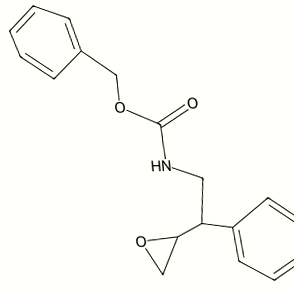 O=C(NCC(c1ccccc1)C1CO1)OCc1ccccc1